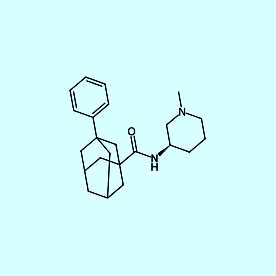 CN1CCC[C@@H](NC(=O)C23CC4CC(C2)CC(c2ccccc2)(C4)C3)C1